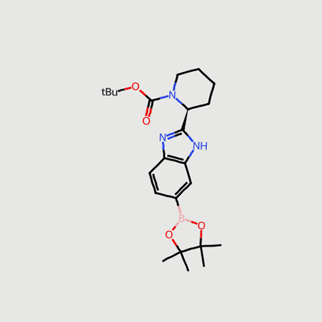 CC(C)(C)OC(=O)N1CCCC[C@H]1c1nc2ccc(B3OC(C)(C)C(C)(C)O3)cc2[nH]1